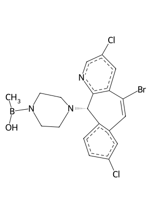 CB(O)N1CCN([C@H]2c3ccc(Cl)cc3C=C(Br)c3cc(Cl)cnc32)CC1